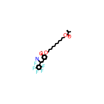 C=C(C)C(=O)OCCCCCCCCCCCOc1ccc(/C=C(\C#N)c2c(F)c(F)c(F)c(F)c2F)cc1OC